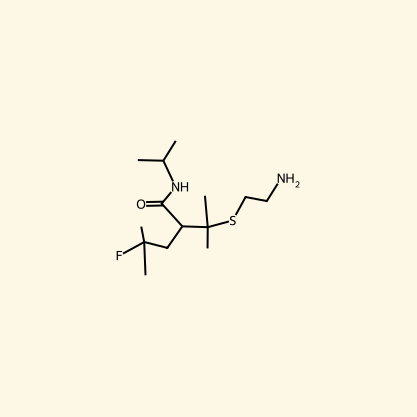 CC(C)NC(=O)C(CC(C)(C)F)C(C)(C)SCCN